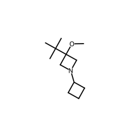 COC1(C(C)(C)C)CN(C2CCC2)C1